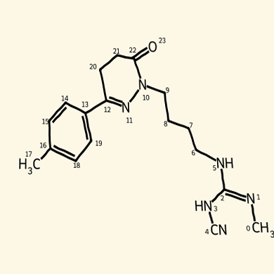 C/N=C(\NC#N)NCCCCN1N=C(c2ccc(C)cc2)CCC1=O